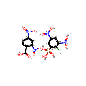 O=C(O)c1ccc([N+](=O)[O-])cc1[N+](=O)[O-].O=[N+]([O-])c1cc([N+](=O)[O-])c(Cl)c(S(=O)(=O)O)c1